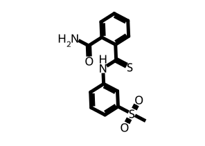 CS(=O)(=O)c1cccc(NC(=S)c2ccccc2C(N)=O)c1